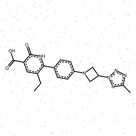 CCc1cc(C(=O)O)c(=O)[nH]c1-c1ccc(N2CC(n3nnc(C)n3)C2)cc1